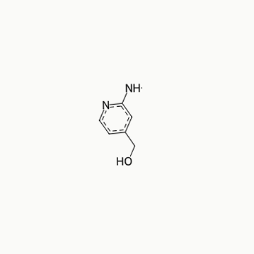 [NH]c1cc(CO)ccn1